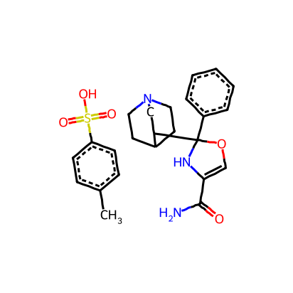 Cc1ccc(S(=O)(=O)O)cc1.NC(=O)C1=COC(c2ccccc2)(C2CN3CCC2CC3)N1